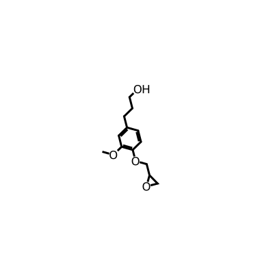 COc1cc(CCCO)ccc1OCC1CO1